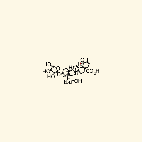 CC(C)(C)CO.C[C@H]1CC[C@]2(C(=O)O)CC[C@]3(C)C(=CC[C@@H]4[C@@]5(C)CC[C@H](O[C@@H]6OC[C@@H](O)[C@H](O)[C@H]6O)C(C)(C)[C@@H]5CC[C@]43C)[C@@H]2[C@]1(C)O